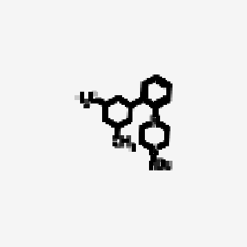 CCCCN1CCN(c2ccccc2C2CC(C)CC(C)C2)CC1